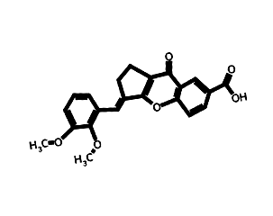 COc1cccc(C=C2CCc3c2oc2ccc(C(=O)O)cc2c3=O)c1OC